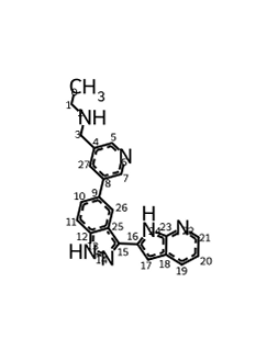 CCNCc1cncc(-c2ccc3[nH]nc(-c4cc5cccnc5[nH]4)c3c2)c1